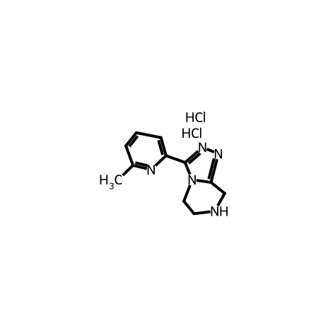 Cc1cccc(-c2nnc3n2CCNC3)n1.Cl.Cl